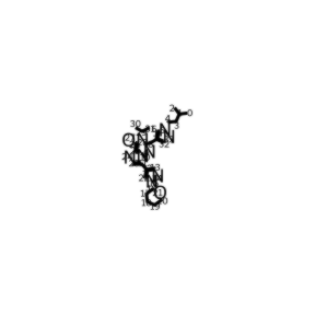 CC(C)CCn1cc(-c2nn3c(-c4cnn(C5CCCCO5)c4)cnc3c(=O)n2C(C)C)cn1